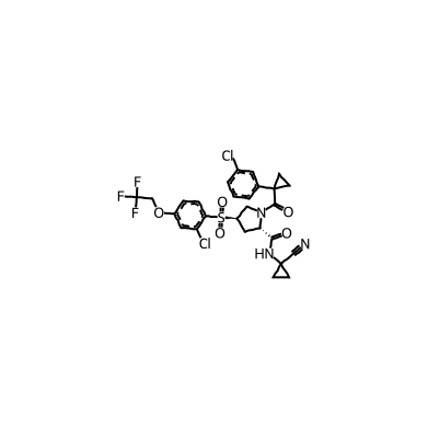 N#CC1(NC(=O)[C@@H]2C[C@@H](S(=O)(=O)c3ccc(OCC(F)(F)F)cc3Cl)CN2C(=O)C2(c3cccc(Cl)c3)CC2)CC1